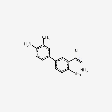 Cc1cc(-c2ccc(N)c(/C(Cl)=C\N)c2)ccc1N